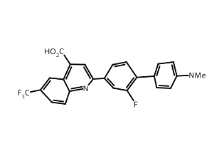 CNc1ccc(-c2ccc(-c3cc(C(=O)O)c4cc(C(F)(F)F)ccc4n3)cc2F)cc1